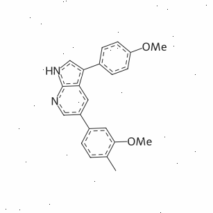 COc1ccc(-c2c[nH]c3ncc(-c4ccc(C)c(OC)c4)cc23)cc1